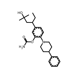 CCC(CC(C)(C)O)c1ccc(N2CCC(c3ccccc3)CC2)c(OC(N)=O)c1